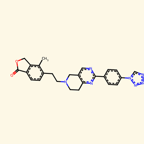 Cc1c(CCN2CCc3nc(-c4ccc(-n5cnnn5)cc4)ncc3C2)ccc2c1COC2=O